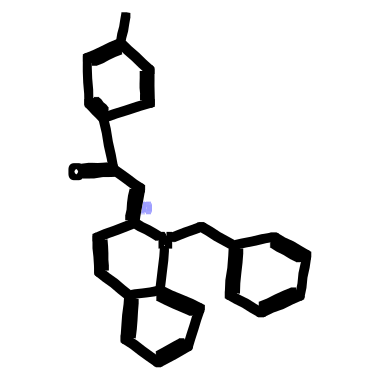 Cc1ccc(C(=O)/C=C2\C=Cc3ccccc3N2Cc2ccccc2)cc1